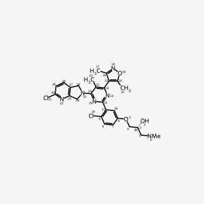 CNC[C@@H](O)COc1ccc(Cl)c(-c2nc(-c3c(C)noc3C)c(C)c(N3Cc4ccc(Cl)nc4C3)n2)c1